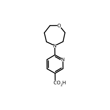 O=C(O)c1ccc(N2CCCOCC2)nc1